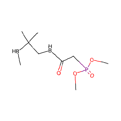 CBC(C)(C)CBC(=O)CP(=O)(OC)OC